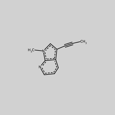 CC#Cc1cn(C)c2ncccc12